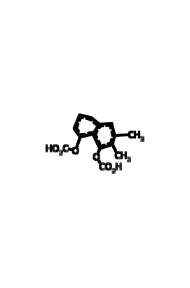 Cc1cc2cccc(OC(=O)O)c2c(OC(=O)O)c1C